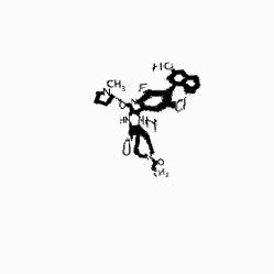 C=CC(=O)N1CCC2(CC1)Nc1c(c(OC[C@@H]3CCCN3C)nc3c(F)c(-c4cc(O)cc5ccccc45)c(Cl)cc13)NC2=O